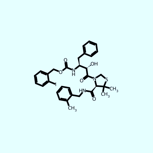 Cc1ccccc1CNC(=O)[C@H]1N(C(=O)[C@@H](O)[C@H](Cc2ccccc2)NC(=O)OCc2ccccc2I)CSC1(C)C